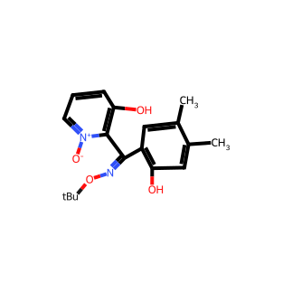 Cc1cc(O)c(C(=NOC(C)(C)C)c2c(O)ccc[n+]2[O-])cc1C